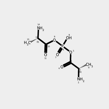 C[C@H](N)C(=O)OP(=O)(O)OC(=O)[C@H](C)N